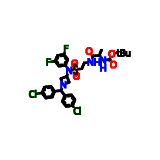 CC(NC(=O)OC(C)(C)C)C(=O)NCCS(=O)(=O)N(c1cc(F)cc(F)c1)C1CN(C(c2ccc(Cl)cc2)c2ccc(Cl)cc2)C1